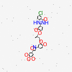 C=C(CCOc1cc(-c2cc(-c3cc(OC)c(OC)c(OC)c3)on2)ccc1OC)COc1ccc(C2NC(=O)c3cc(Cl)ccc3N2)cc1OC